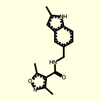 Cc1cc2cc(CNC(=O)c3c(C)noc3C)ccc2[nH]1